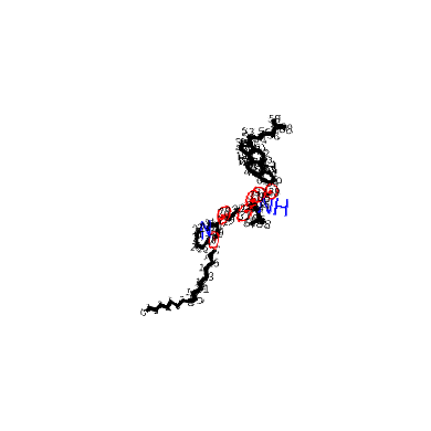 CCCCCCCC/C=C\CCCCCCCCOCC(CN1CCCCC1)OCCOC(=O)[C@@H](NC(=O)O[C@H]1CC[C@@]2(C)C(=CC[C@H]3[C@@H]4CC[C@H]([C@H](C)CCCC(C)C)[C@@]4(C)CC[C@@H]32)C1)C(C)C